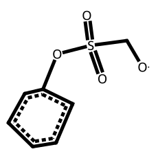 [O]CS(=O)(=O)Oc1ccccc1